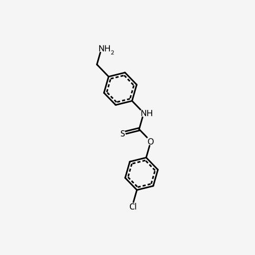 NCc1ccc(NC(=S)Oc2ccc(Cl)cc2)cc1